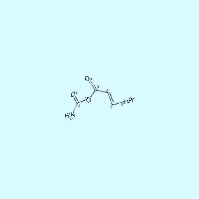 CCCC=CC(=O)OC(N)=O